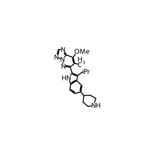 COc1c(C)c(-c2[nH]c3ccc(C4CCNCC4)cc3c2C(C)C)nn2ncnc12